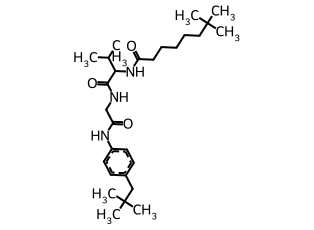 CC(C)C(NC(=O)CCCCCC(C)(C)C)C(=O)NCC(=O)Nc1ccc(CC(C)(C)C)cc1